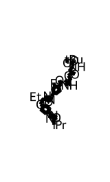 CCC(Oc1ccc(-c2noc(C(C)C)n2)cc1)c1nc(-c2ccc(C(=O)NC(C)(C)COC(=O)CNC(=O)OC(C)(C)C)c(F)c2)no1